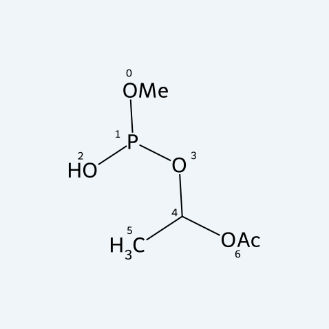 COP(O)OC(C)OC(C)=O